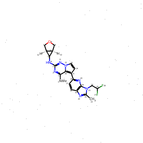 CNc1nc(NC2[C@H]3COC[C@@H]23)nn2ccc(-c3ccc4nc(C)n(CC(F)F)c4n3)c12